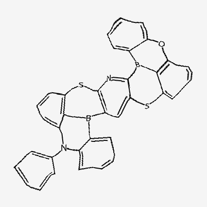 c1ccc(N2c3ccccc3B3c4cc5c(nc4Sc4cccc2c43)B2c3ccccc3Oc3cccc(c32)S5)cc1